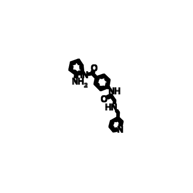 Nc1ccccc1NC(=O)c1ccc(NC(=O)CNCc2cccnc2)cc1